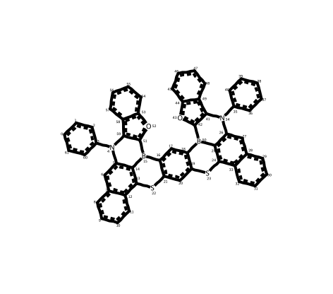 c1ccc(N2c3cc4ccccc4c4c3B(c3cc5c(cc3S4)Sc3c4c(cc6ccccc36)N(c3ccccc3)c3c(oc6ccccc36)B54)c3oc4ccccc4c32)cc1